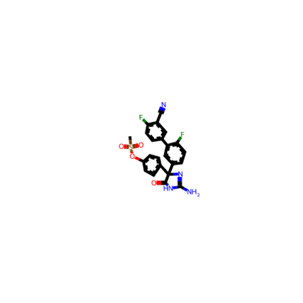 CS(=O)(=O)Oc1ccc(C2(c3ccc(F)c(-c4ccc(F)c(C#N)c4)c3)N=C(N)NC2=O)cc1